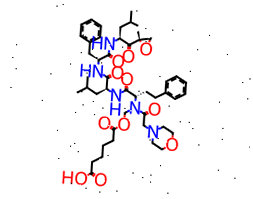 CC(C)C[C@H](NC(=O)[C@H](CCc1ccccc1)N(COC(=O)CCCCC(=O)O)C(=O)CN1CCOCC1)C(=O)N[C@@H](Cc1ccccc1)C(=O)N[C@@H](CC(C)C)C(=O)[C@]1(C)CO1